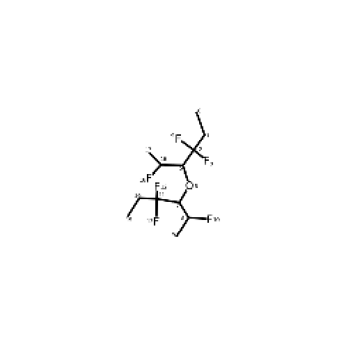 CCC(F)(F)C(OC(C(C)F)C(F)(F)CC)C(C)F